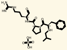 CC(C)CN[C@H](Cc1ccccc1)C(=O)N1CCC[C@H]1C(=O)N[C@H](C=O)CCCNC(=N)N.O=S(=O)(O)O